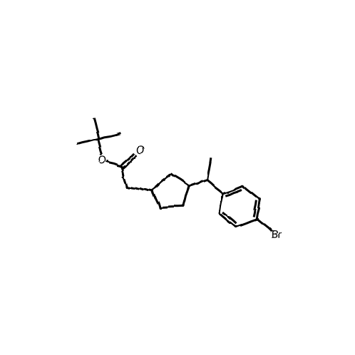 CC(c1ccc(Br)cc1)C1CCC(CC(=O)OC(C)(C)C)C1